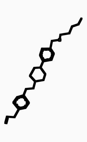 C=CCc1ccc(CCC2CCC(c3ccc(COCCCCC)cc3)CC2)cc1